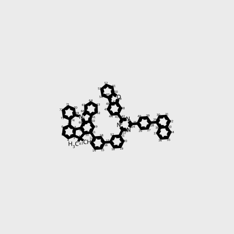 CC1(C)c2cccc3c2-c2c1c(-c1cccc(-c4cccc(-c5nc(-c6ccc(-c7cccc8ccccc78)cc6)nc(-c6ccc7c(c6)oc6ccccc67)n5)c4)c1)cc1c4ccccc4n(c21)-c1ccccc1-3